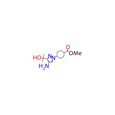 COC(=O)C1CCC(n2cc(N)c(C(C)(C)O)n2)CC1